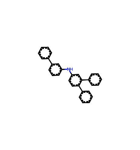 c1ccc(-c2cccc(Nc3ccc(-c4ccccc4)c(-c4ccccc4)c3)c2)cc1